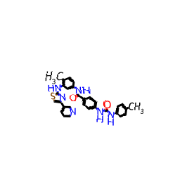 Cc1ccc(NC(=O)Nc2ccc(C(=O)Nc3ccc(C)c(Nc4nc(-c5cccnc5)cs4)c3)cc2)cc1